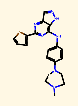 CN1CCN(c2ccc(Nc3nc(-c4cccs4)nc4cn[nH]c34)cc2)CC1